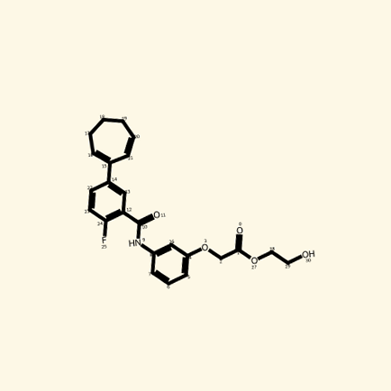 O=C(COc1cccc(NC(=O)c2cc(C3=CCCCC=C3)ccc2F)c1)OCCO